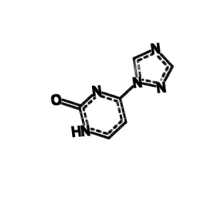 O=c1nc(-n2cncn2)cc[nH]1